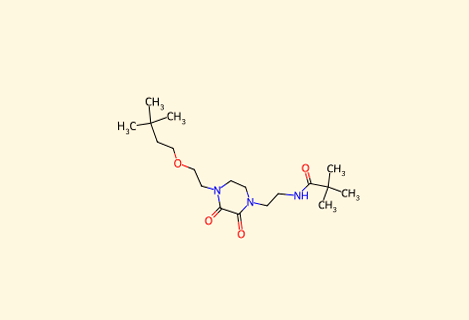 CC(C)(C)CCOCCN1CCN(CCNC(=O)C(C)(C)C)C(=O)C1=O